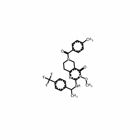 COn1c(NC(C)c2ccc(C(F)(F)F)cc2)nc2c(c1=O)CN(C(=O)c1ccc(C)cc1)CC2